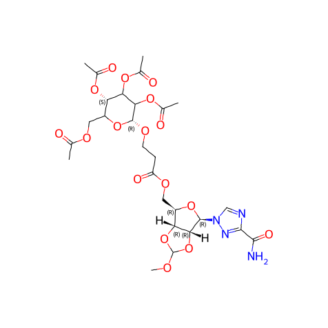 COC1O[C@@H]2[C@H](O1)[C@@H](COC(=O)CCO[C@@H]1OC(COC(C)=O)[C@H](OC(C)=O)C(OC(C)=O)C1OC(C)=O)O[C@H]2n1cnc(C(N)=O)n1